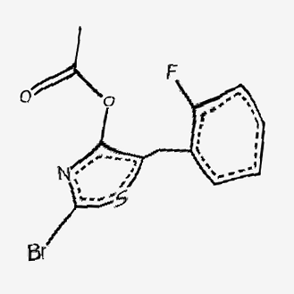 CC(=O)Oc1nc(Br)sc1-c1ccccc1F